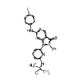 CC(C)n1c(=O)c2cnc(Nc3ccc(F)cc3)nc2n1-c1cccc(N=S(C)(C)=O)n1